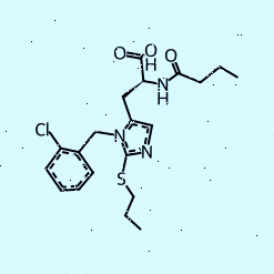 CCCSc1ncc(C[C@H](NC(=O)CCC)C(=O)O)n1Cc1ccccc1Cl